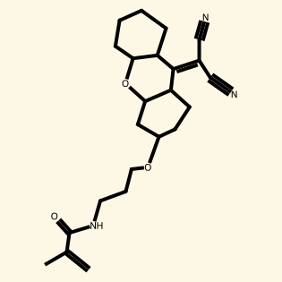 C=C(C)C(=O)NCCCOC1CCC2C(=C(C#N)C#N)C3CCCCC3OC2C1